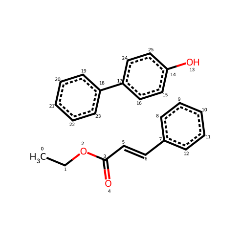 CCOC(=O)C=Cc1ccccc1.Oc1ccc(-c2ccccc2)cc1